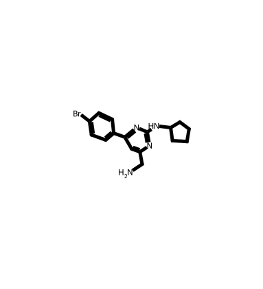 NCc1cc(-c2ccc(Br)cc2)nc(NC2CCCC2)n1